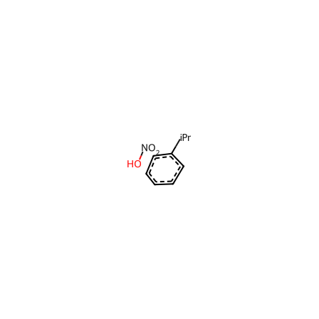 CC(C)c1ccccc1.O=[N+]([O-])O